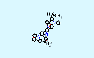 CC(C)c1ccc(-c2ccccc2)c(N(c2ccccc2)c2ccc3c4cc5c(cc4n4c6ccccc6c2c34)c2ccc(N(c3ccccc3)c3cc(C(C)C)ccc3-c3ccccc3)c3c4ccccc4n5c23)c1